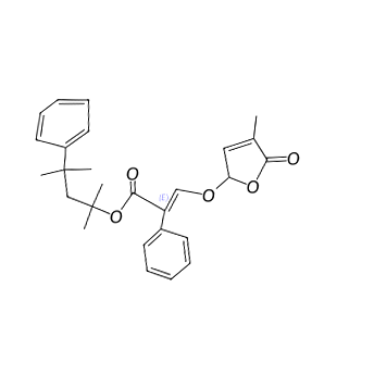 CC1=CC(O/C=C(/C(=O)OC(C)(C)CC(C)(C)c2ccccc2)c2ccccc2)OC1=O